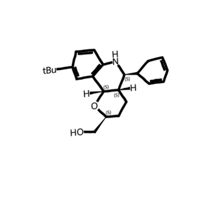 CC(C)(C)c1ccc2c(c1)[C@H]1O[C@H](CO)CC[C@H]1[C@H](C1C=CC=CC1)N2